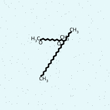 CCCCCCCCCCCCCCCCCC(=O)CC(CCCCCC)C(C)CCCCCCCCC(C)=O